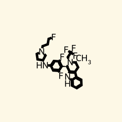 C[C@@H]1Cc2c([nH]c3ccccc23)[C@@H](c2c(F)cc(N[C@@H]3CCN(CCCF)C3)cc2F)N1CC(F)(F)F